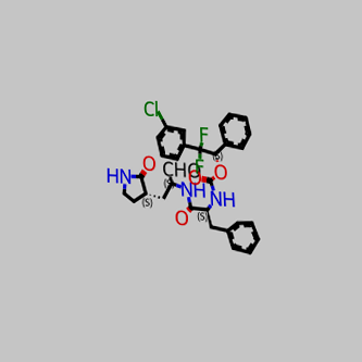 O=C[C@H](C[C@@H]1CCNC1=O)NC(=O)[C@H](Cc1ccccc1)NC(=O)O[C@@H](c1ccccc1)C(F)(F)c1cccc(Cl)c1